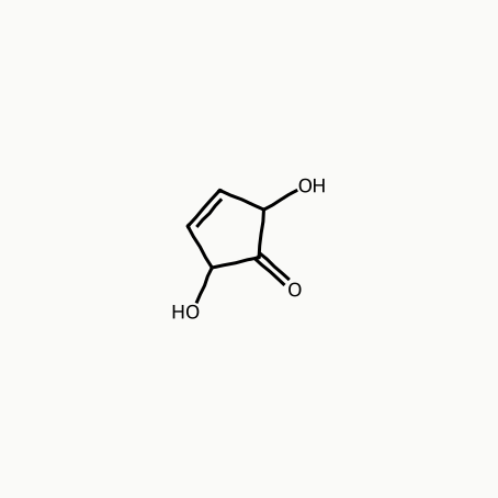 O=C1C(O)C=CC1O